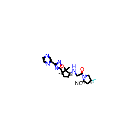 CC1(C)[C@@H](NCC(=O)N2C[C@@H](F)C[C@H]2C#N)CC[C@@]1(C)c1nc(-c2cnccn2)no1